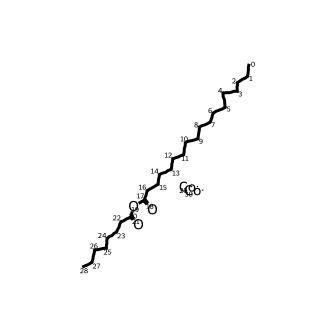 CCCCCCCCCCCCCCCCCC(=O)OC(=O)CCCCCCC.[Co].[Co]